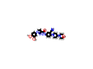 COc1ccc(-n2ccc(C(=O)Nc3ccc(N4CCC(N5CCOCC5)CC4)c(C#N)c3)c2)cc1OC